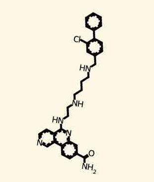 NC(=O)c1ccc2c(c1)nc(NCCNCCCCNCc1ccc(-c3ccccc3)c(Cl)c1)c1ccncc12